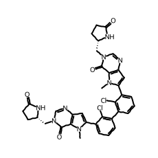 Cn1c(-c2cccc(-c3cccc(-c4cc5ncn(C[C@@H]6CCC(=O)N6)c(=O)c5n4C)c3Cl)c2Cl)cc2ncn(C[C@@H]3CCC(=O)N3)c(=O)c21